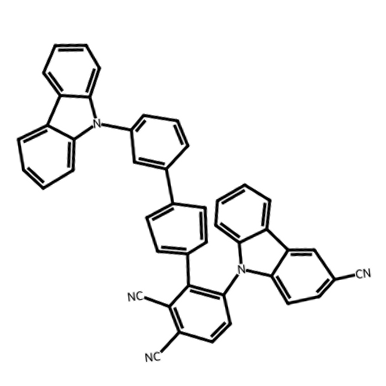 N#Cc1ccc2c(c1)c1ccccc1n2-c1ccc(C#N)c(C#N)c1-c1ccc(-c2cccc(-n3c4ccccc4c4ccccc43)c2)cc1